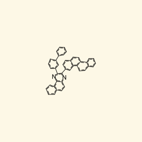 c1ccc(-c2cccc(-c3nc4c(ccc5ccccc54)nc3-c3ccc4ccc5c6ccccc6ccc5c4c3)c2)cc1